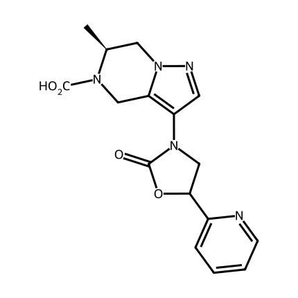 C[C@H]1Cn2ncc(N3CC(c4ccccn4)OC3=O)c2CN1C(=O)O